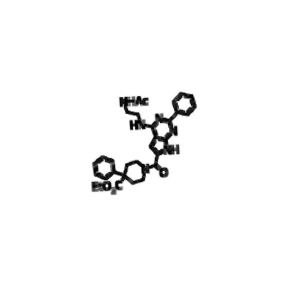 CCOC(=O)C1(c2ccccc2)CCN(C(=O)c2cc3c(NCCNC(C)=O)nc(-c4ccccc4)nc3[nH]2)CC1